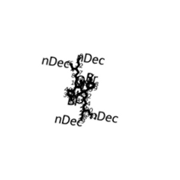 CCCCCCCCCCCCC(CCCCCCCCCCCC)CCCCc1c2c(=O)n3c(Br)ccc3c(CCCCC(CCCCCCCCCCCC)CCCCCCCCCCCC)c2c(=O)n2c(Br)ccc12